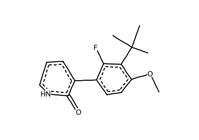 COc1ccc(-c2ccc[nH]c2=O)c(F)c1C(C)(C)C